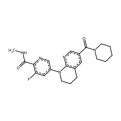 CNC(=O)c1ncc(N2CCCc3cc(C(=O)N4CCCCC4)cnc32)cc1F